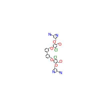 N#Cc1cncc(COc2cc(OCc3cccc(-c4cccc(COc5cc(OCc6cncc(C#N)c6)c(C=O)cc5Cl)c4)c3)c(Cl)cc2C=O)c1